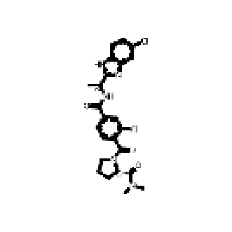 C[C@H](NC(=O)c1ccc(C(=O)N2CCC[C@H]2C(=O)N(C)C)c(Cl)c1)c1nc2cc(Cl)ccc2[nH]1